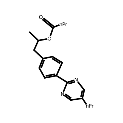 CCCC(=O)OC(C)Cc1ccc(-c2ncc(CCC)cn2)cc1